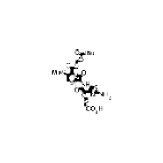 CSC1=C(C(=O)OCOC(=O)C(C)(C)C)N2C(=O)C(NC(=O)/C(=N/OCC(=O)O)c3csc(N)n3)[C@H]2SC1